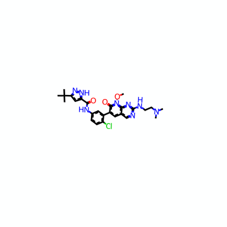 COn1c(=O)c(-c2cc(NC(=O)c3cc(C(C)(C)C)n[nH]3)ccc2Cl)cc2cnc(NCCN(C)C)nc21